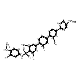 CCCCCc1cnc(-c2ccc(-c3ccc(-c4cc(F)c(C(F)(F)Oc5ccc(OC(F)(F)F)c(F)c5)c(F)c4)c(F)c3)c(F)c2)nc1